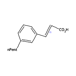 CCCCCc1cccc(/C=C/C(=O)O)c1